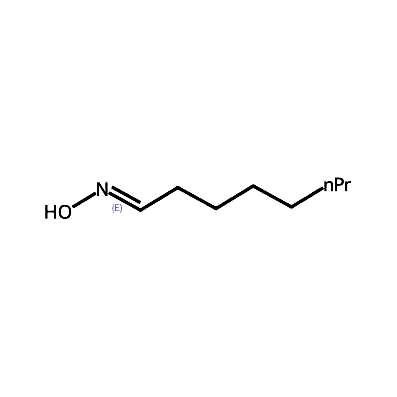 CCCCCCC/C=N/O